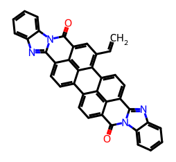 C=Cc1cc2c(=O)n3c4ccccc4nc3c3ccc4c5ccc6c(=O)n7c8ccccc8nc7c7ccc(c1c4c23)c5c67